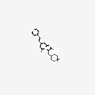 Cc1cc(C=Cc2ccncc2)cc2nc(C(F)(F)F)c(CC3CCC(F)(F)CC3)n12